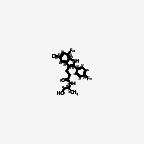 C[C@H](CO)NC(=O)CCc1c(-c2ccc(F)cc2)[nH]c2c(F)cc(Cl)cc12